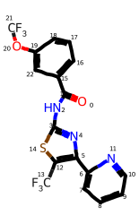 O=C(Nc1nc(-c2ccccn2)c(C(F)(F)F)s1)c1cccc(OC(F)(F)F)c1